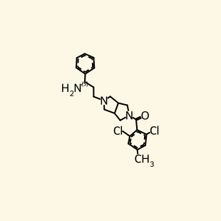 Cc1cc(Cl)c(C(=O)N2CC3CN(CC[C@H](N)c4ccccc4)CC3C2)c(Cl)c1